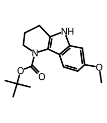 COc1ccc2c3c([nH]c2c1)CCCN3C(=O)OC(C)(C)C